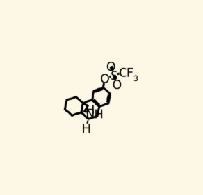 O=S(=O)(Oc1ccc2c(c1)C13CCCC[C@H]1[C@@H](C2)NCC3)C(F)(F)F